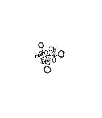 O=C(OC(CO)(CO)C(CO)(OC(=O)c1ccccc1)OC(=O)c1ccccc1)c1ccccc1